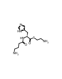 NCCCC(=O)N[C@@H](Cc1cnc[nH]1)C(=O)SCCN